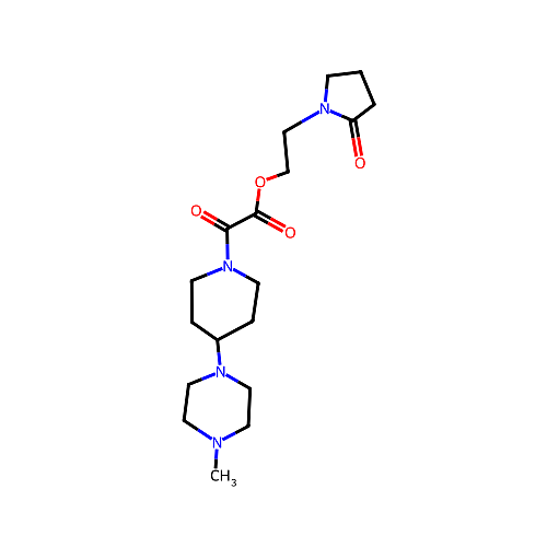 CN1CCN(C2CCN(C(=O)C(=O)OCCN3CCCC3=O)CC2)CC1